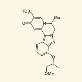 COCC(C)Oc1cccc2c3n(nc12)CC(C(C)(C)C)n1cc(C(=O)O)c(=O)cc1-3